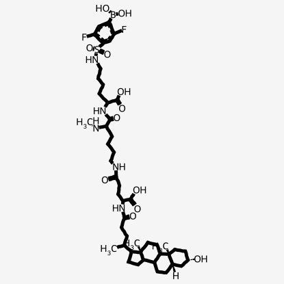 CNC(CCCCNC(=O)CCC(NC(=O)CCC(C)C1CCC2C3CC[C@H]4C[C@@H](O)CC[C@@]4(C)C3CC[C@@]12C)C(=O)O)C(=O)NC(CCCCNS(=O)(=O)c1cc(F)c(B(O)O)cc1F)C(=O)O